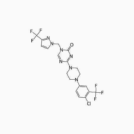 O=c1nc(N2CCN(c3ccc(Cl)c(C(F)(F)F)c3)CC2)ncn1Cn1ccc(C(F)(F)F)n1